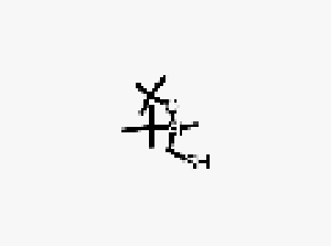 CC(C)(C)O[Si](C)(CS)C(C)(C)C